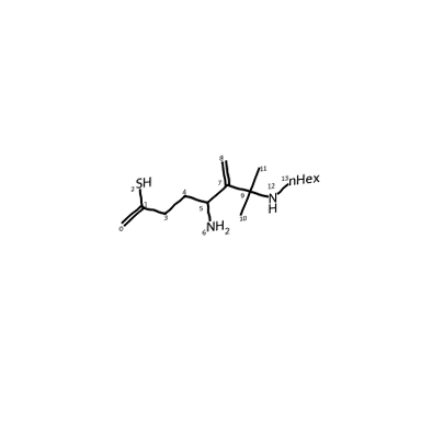 C=C(S)CCC(N)C(=C)C(C)(C)NCCCCCC